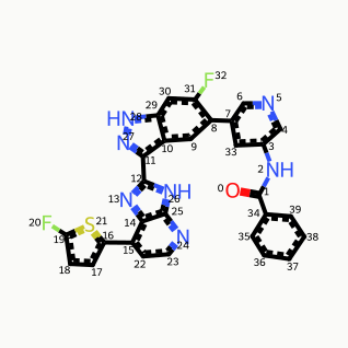 O=C(Nc1cncc(-c2cc3c(-c4nc5c(-c6ccc(F)s6)ccnc5[nH]4)n[nH]c3cc2F)c1)c1ccccc1